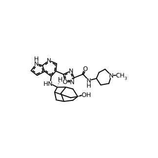 CN1CCC(NC(=O)c2noc(-c3cnc4[nH]ccc4c3N[C@H]3C4CC5CC3C[C@@](O)(C5)C4)n2)CC1